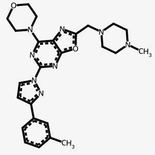 Cc1cccc(-c2ccn(-c3nc(N4CCOCC4)c4nc(CN5CCN(C)CC5)oc4n3)n2)c1